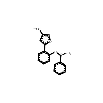 CCOC(=O)c1cc(-c2ccccc2O[C@@H](C)c2ccccc2)on1